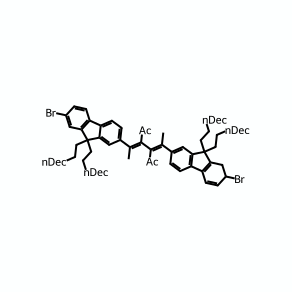 CCCCCCCCCCCCC1(CCCCCCCCCCCC)C2=C(C=CC(Br)C2)c2ccc(/C(C)=C(C(C)=O)/C(C(C)=O)=C(\C)c3ccc4c(c3)C(CCCCCCCCCCCC)(CCCCCCCCCCCC)c3cc(Br)ccc3-4)cc21